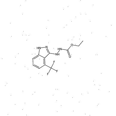 CCOC(=O)NNc1n[nH]c2cccc(C(F)(F)F)c12